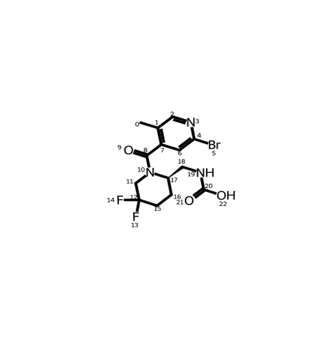 Cc1cnc(Br)cc1C(=O)N1CC(F)(F)CC[C@@H]1CNC(=O)O